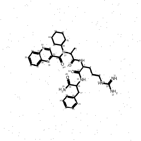 CC(C(=O)NC(CCCNC(=N)N)C(=O)NC(Cc1ccccc1)C(N)=O)N(C(=O)c1cnc2ccccc2n1)C1CCCCC1